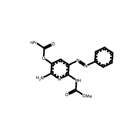 CCCC(=O)Oc1cc(/N=N/c2ccccc2)c(NC(=O)OC)nc1N